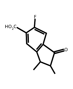 CC1C(=O)c2cc(F)c(C(=O)O)cc2C1C